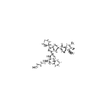 CCN(Cc1cncc(-c2ccc3c(c2)c(-c2nc(-c4ccccc4)c(C(=O)NCCCCO)[nH]2)nn3C2CCCCO2)c1C)C(=O)OC(C)(C)C